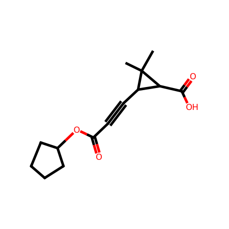 CC1(C)C(C#CC(=O)OC2CCCC2)C1C(=O)O